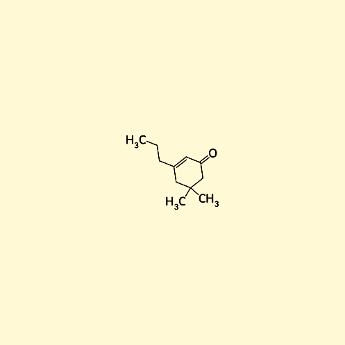 CCCC1=CC(=O)CC(C)(C)C1